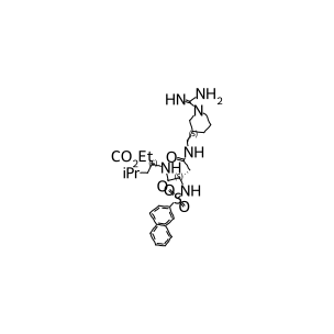 CCOC(=O)[C@H](CC(C)C)NC(=O)[C@H](CC(=O)NC[C@@H]1CCCN(C(=N)N)C1)NS(=O)(=O)c1ccc2ccccc2c1